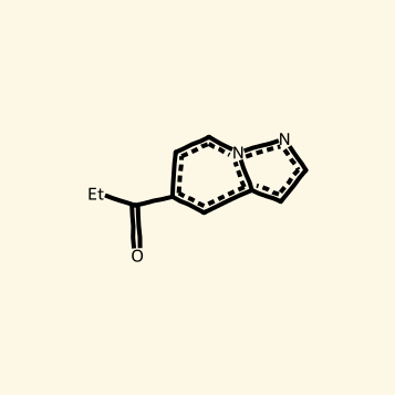 CCC(=O)c1ccn2nccc2c1